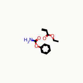 C=CC(=O)OCC.NC(=O)Oc1ccccc1